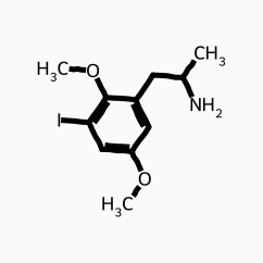 COc1cc(I)c(OC)c(CC(C)N)c1